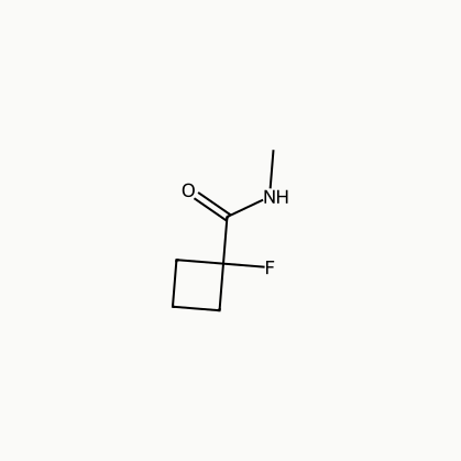 CNC(=O)C1(F)CCC1